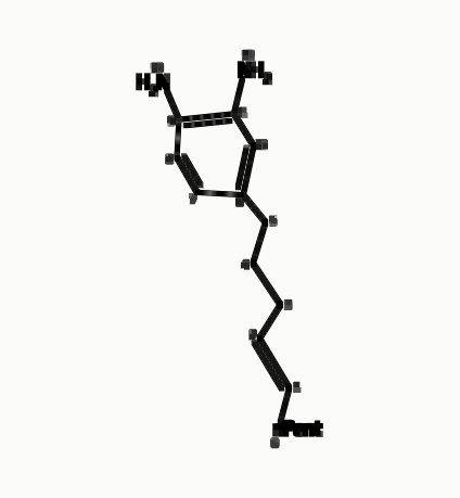 CCCCCC=CCCCc1ccc(N)c(N)c1